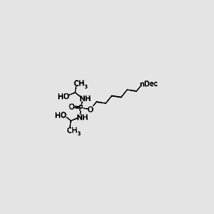 CCCCCCCCCCCCCCCCOP(=O)(NC(C)O)NC(C)O